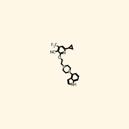 N#Cc1c(C(F)(F)F)cc(C2CC2)nc1OCCN1CCN(c2cccc3[nH]ccc23)CC1